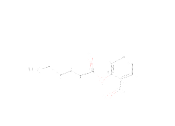 CCCCCC(=O)Oc1ccccc1[C]=O